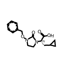 O=C(O)[C@H](CC1CC1)N1CCN(OCc2ccccc2)C1=O